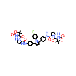 COC(=O)N[C@H](C(=O)N1CCC[C@H]1C(=O)NC1=CC=C(c2ccc(-c3ccc(NC(=O)[C@@H]4CCCN4C(=O)[C@@H](NC(=O)OC)C(C)(C)C)cc3)n2-c2ccc(F)cc2)CC1)C(C)(C)C